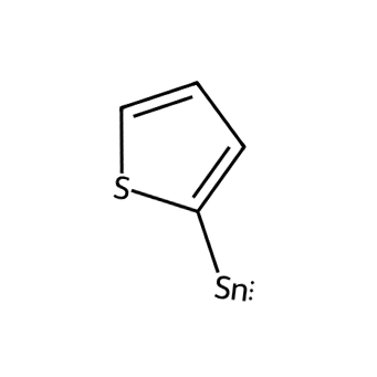 [Sn][c]1cccs1